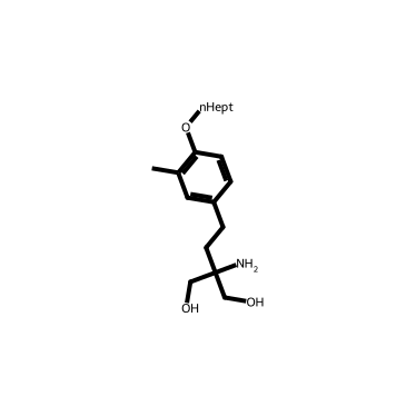 CCCCCCCOc1ccc(CCC(N)(CO)CO)cc1C